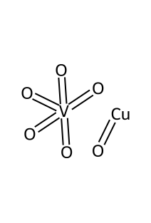 [O]=[Cu].[O]=[V](=[O])(=[O])(=[O])=[O]